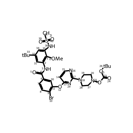 COc1c(NC(=O)c2ccc(Br)c(Oc3ccnc(N4CCN(OC(=O)OC(C)(C)C)CC4)n3)c2)cc(C(C)(C)C)cc1NS(C)(=O)=O